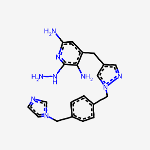 NNc1nc(N)cc(Cc2cnn(Cc3ccc(Cn4ccnc4)cc3)c2)c1N